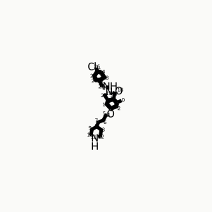 Cc1cc(OCCCC2CCNCC2)cc2c1C(=O)N(NCc1ccc(Cl)cc1)C2